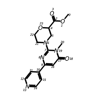 COC(=O)C1CN(c2nc(-c3ccncc3)cc(=O)n2C)CCO1